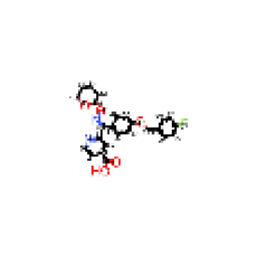 O=C(O)c1ccnc(/C(=N/OC2CCCCO2)c2ccc(OCc3ccc(F)cc3)cc2)c1